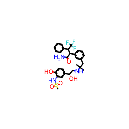 CC(C)(Cc1cccc(C(C(N)=O)C(c2ccccc2)C(F)(F)F)c1)NC[C@H](O)c1ccc(O)c(NS(C)(=O)=O)c1